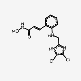 O=C(C=Cc1ccccc1NCc1nc(Cl)c(Cl)[nH]1)NO